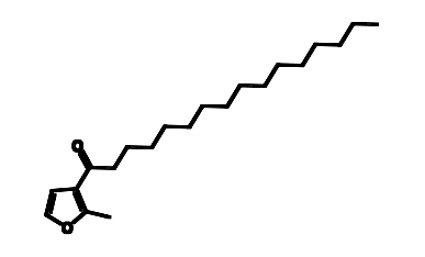 CCCCCCCCCCCCCCCC(=O)c1ccoc1C